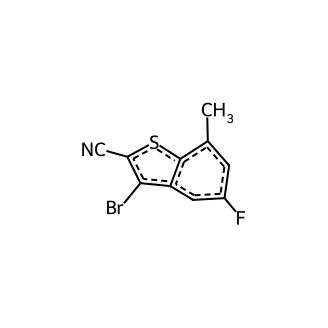 Cc1cc(F)cc2c(Br)c(C#N)sc12